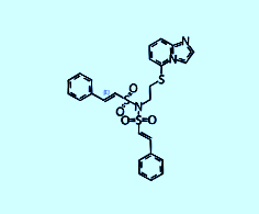 O=S(=O)(C=Cc1ccccc1)N(CCSc1cccc2nccn12)S(=O)(=O)/C=C/c1ccccc1